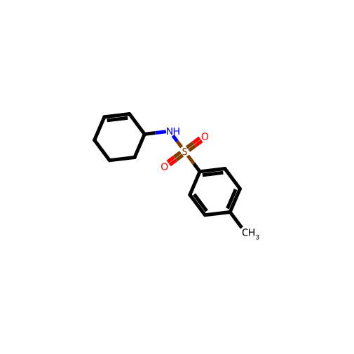 Cc1ccc(S(=O)(=O)NC2C=CCCC2)cc1